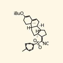 [C-]#[N+]/C(=C1\CC[C@H]2[C@@H]3CC=C4C=C(OCC(C)C)CC[C@]4(C)[C@H]3CC[C@]12C)S(=O)(=O)c1ccc(C)cc1